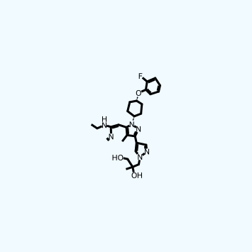 C=N/C(=C\c1c(C)c(-c2cnn(CC(C)(O)CO)c2)nn1[C@H]1CC[C@@H](Oc2ccccc2F)CC1)NCC